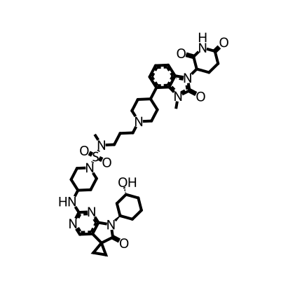 CN(CCCN1CCC(c2cccc3c2n(C)c(=O)n3C2CCC(=O)NC2=O)CC1)S(=O)(=O)N1CCC(Nc2ncc3c(n2)N([C@@H]2CCC[C@@H](O)C2)C(=O)C32CC2)CC1